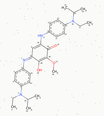 CCN(c1ccc(/N=C2/C=C(Nc3ccc(N(CC)C(C)C)cc3)C(=O)C(OC)=C2O)cc1)C(C)C